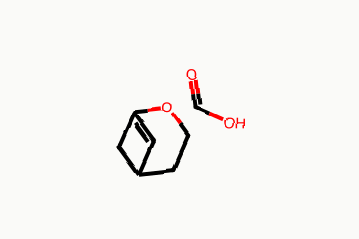 C1=C2CC1CCO2.O=CO